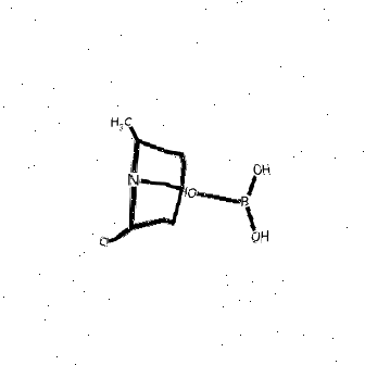 CC1CC2CC(Cl)N12.OB(O)O